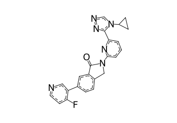 O=C1c2cc(-c3cnccc3F)ccc2CN1c1cccc(-c2nncn2C2CC2)n1